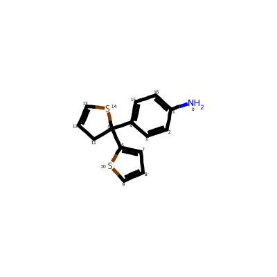 Nc1ccc(C2(c3cccs3)CC=CS2)cc1